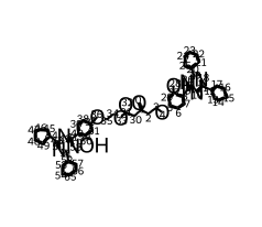 O=C(CCOc1ccc(-c2nc(-c3ccccc3)nc(-c3ccccc3)n2)c(O)c1)CC(=O)OCCOc1ccc(-c2nc(-c3ccccc3)nc(-c3ccccc3)n2)c(O)c1